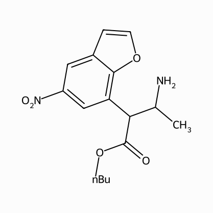 CCCCOC(=O)C(c1cc([N+](=O)[O-])cc2ccoc12)C(C)N